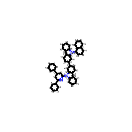 c1ccc(-c2cc(-c3ccccc3)nc(-n3c4ccccc4c4ccc(-c5ccc6c7ccccc7n(-c7cccc8ccccc78)c6c5)cc43)c2)cc1